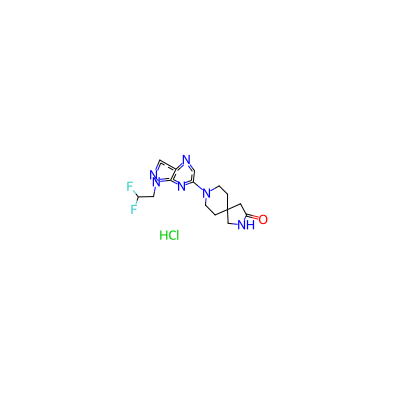 Cl.O=C1CC2(CCN(c3cnc4cnn(CC(F)F)c4n3)CC2)CN1